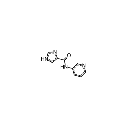 O=C(Nc1cccnc1)c1c[nH]cn1